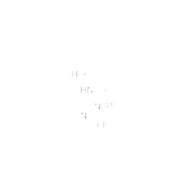 CCn1c(NC(=O)c2ccccc2O)cnc1C(F)(F)F